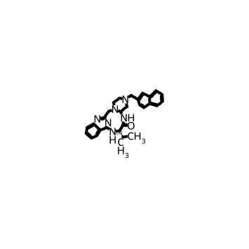 CC(C)[C@@H]1Nc2nc(nc3ccccc23)CN2CCN(Cc3ccc4ccccc4c3)CC2NC1=O